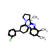 Cc1ccc2[nH]c([C@]3(C)CCCN3C3=[C]C(c4cccc(F)c4)CC=C3)nc2c1C